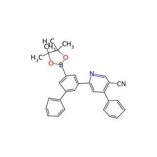 CC1(C)OB(c2cc(-c3ccccc3)cc(-c3cc(-c4ccccc4)c(C#N)cn3)c2)OC1(C)C